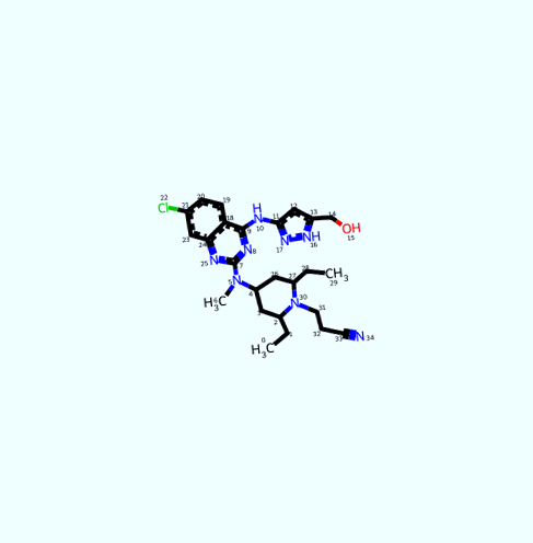 CCC1CC(N(C)c2nc(Nc3cc(CO)[nH]n3)c3ccc(Cl)cc3n2)CC(CC)N1CCC#N